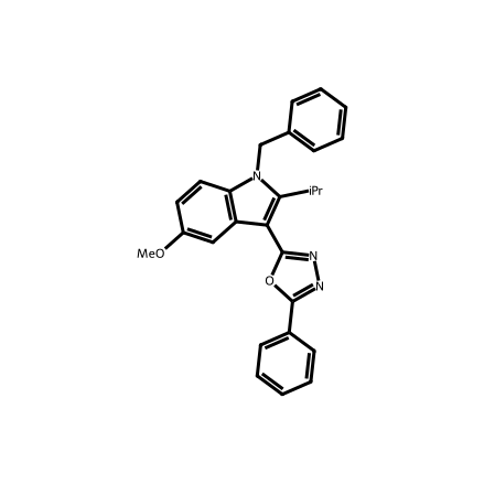 COc1ccc2c(c1)c(-c1nnc(-c3ccccc3)o1)c(C(C)C)n2Cc1ccccc1